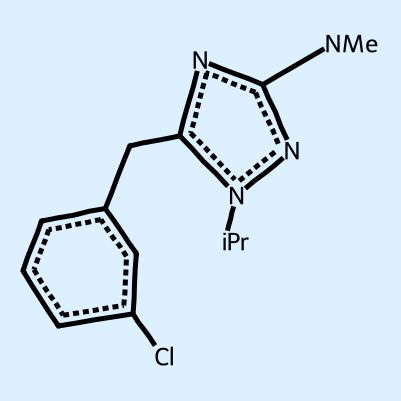 CNc1nc(Cc2cccc(Cl)c2)n(C(C)C)n1